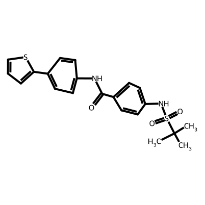 CC(C)(C)S(=O)(=O)Nc1ccc(C(=O)Nc2ccc(-c3cccs3)cc2)cc1